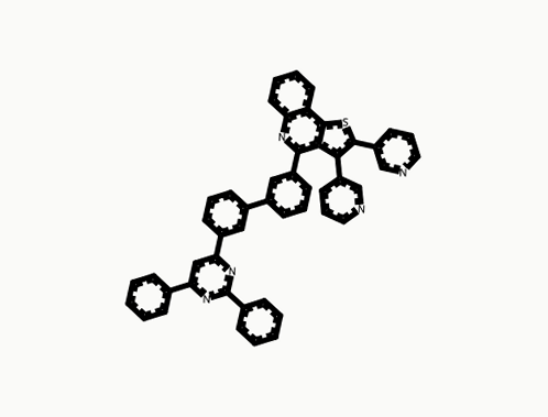 c1ccc(-c2cc(-c3cccc(-c4cccc(-c5nc6ccccc6c6sc(-c7cccnc7)c(-c7cccnc7)c56)c4)c3)nc(-c3ccccc3)n2)cc1